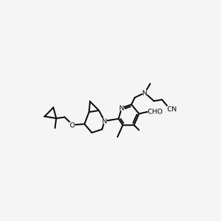 Cc1c(N2CCC(OCC3(C)CC3)C3CC32)nc(CN(C)CCC#N)c(C=O)c1C